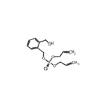 C=CCOP(=O)(OCC=C)OCc1ccccc1CO